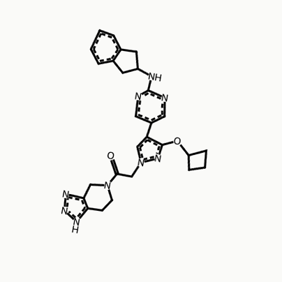 O=C(Cn1cc(-c2cnc(NC3Cc4ccccc4C3)nc2)c(OC2CCC2)n1)N1CCc2[nH]nnc2C1